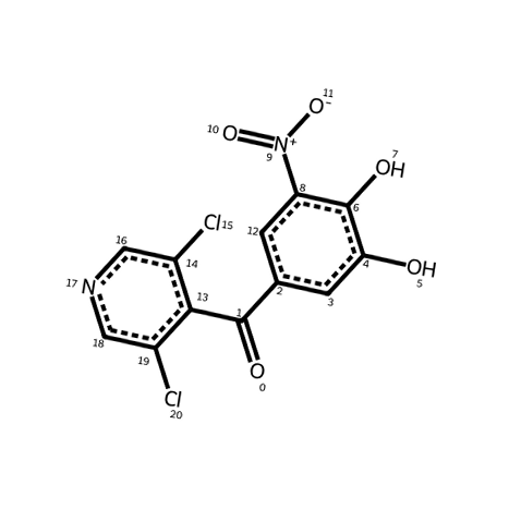 O=C(c1cc(O)c(O)c([N+](=O)[O-])c1)c1c(Cl)cncc1Cl